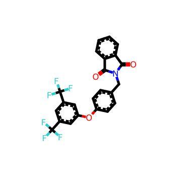 O=C1c2ccccc2C(=O)N1Cc1ccc(Oc2cc(C(F)(F)F)cc(C(F)(F)F)c2)cc1